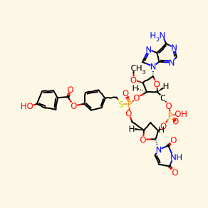 CO[C@@H]1[C@@H]2O[P@](=O)(SCc3ccc(OC(=O)c4ccc(O)cc4)cc3)OC[C@@H]3C[C@@H](OP(=O)(O)OC[C@H]2O[C@H]1n1cnc2c(N)ncnc21)[C@H](n1ccc(=O)[nH]c1=O)O3